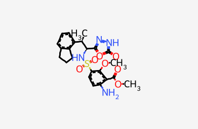 COC(=O)c1c(N)ccc(S(=O)(=O)N[C@H](c2n[nH]c(=O)o2)[C@H](C)c2cccc3c2CCC3)c1OC